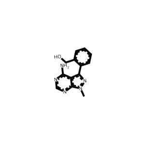 Cn1nc(-c2ccccc2CO)c2c(N)ncnc21